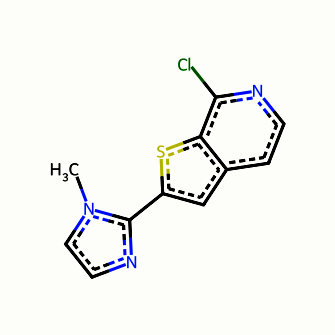 Cn1ccnc1-c1cc2ccnc(Cl)c2s1